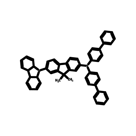 CC1(C)c2cc(N(c3ccc(-c4ccccc4)cc3)c3ccc(-c4ccccc4)cc3)ccc2-c2ccc(N3C4C=CC=CC4C4C=CC=CC43)cc21